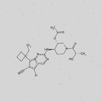 CCC1(c2c(C#N)c(Cl)c3cnc(N[C@@H]4CCN(C(=O)[C@H](C)O)C[C@H]4OC(C)=O)nn23)CCC1